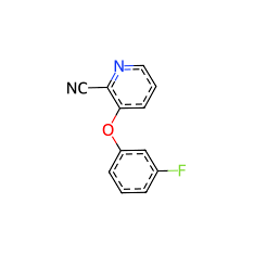 N#Cc1ncccc1Oc1cccc(F)c1